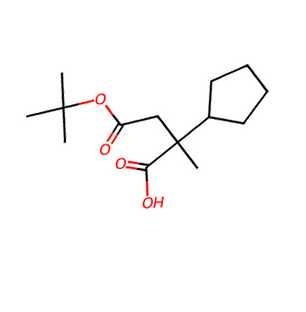 CC(C)(C)OC(=O)CC(C)(C(=O)O)C1CCCC1